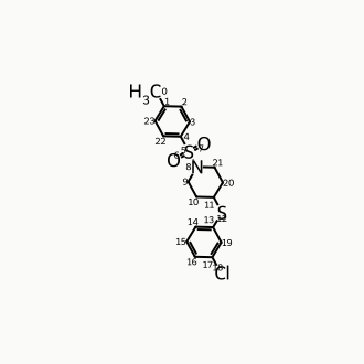 Cc1ccc(S(=O)(=O)N2CCC(Sc3cccc(Cl)c3)CC2)cc1